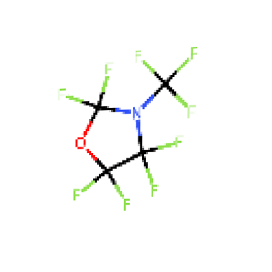 FC(F)(F)N1C(F)(F)OC(F)(F)C1(F)F